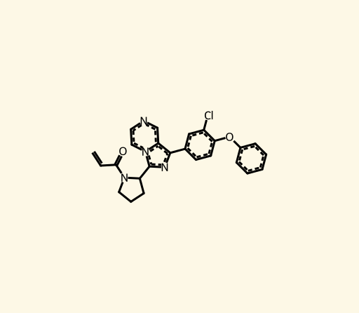 C=CC(=O)N1CCCC1c1nc(-c2ccc(Oc3ccccc3)c(Cl)c2)c2cnccn12